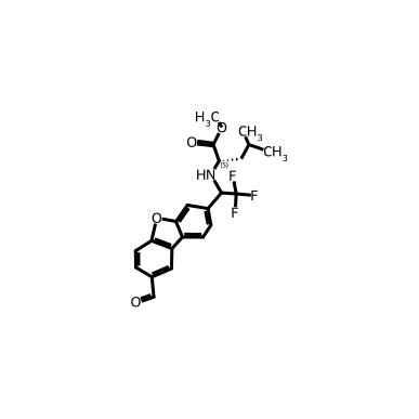 COC(=O)[C@H](CC(C)C)NC(c1ccc2c(c1)oc1ccc(C=O)cc12)C(F)(F)F